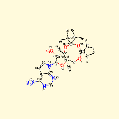 CC(C)[Si]1(C(C)C)OC[C@H]2OC(n3ccc4c(N)ncnc43)[C@H](O)[C@@H]2O[Si](C(C)C)(C(C)C)O1